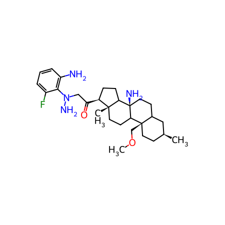 COC[C@]12CC[C@H](C)CC1CC[C@]1(N)C2CC[C@@]2(C)C1CC[C@@H]2C(=O)CN(N)c1c(N)cccc1F